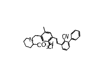 Cc1cc(/C=C/c2cccc(-c3ccccc3)c2C#N)c(Cl)cc1CN1CCCCC1C(=O)O